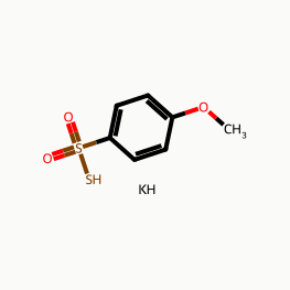 COc1ccc(S(=O)(=O)S)cc1.[KH]